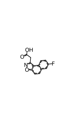 O=C(O)Cc1noc2ccc3cc(F)ccc3c12